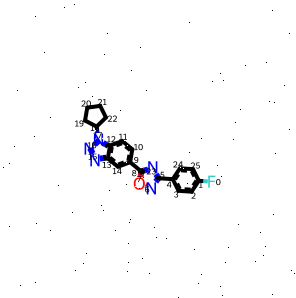 Fc1ccc(-c2noc(-c3ccc4c(c3)nnn4C3CCCC3)n2)cc1